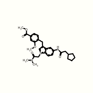 COC(=O)c1ccc(Cc2cn(CC(=O)N(C)C)c3ccc(NC(=O)CC4CCCC4)cc23)c(OC)c1